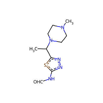 CC(c1nnc(NC=O)s1)N1CCN(C)CC1